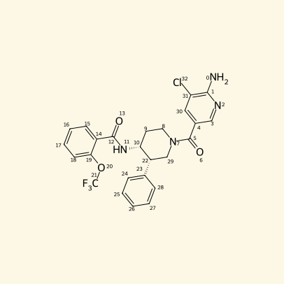 Nc1ncc(C(=O)N2CC[C@@H](NC(=O)c3ccccc3OC(F)(F)F)[C@@H](c3ccccc3)C2)cc1Cl